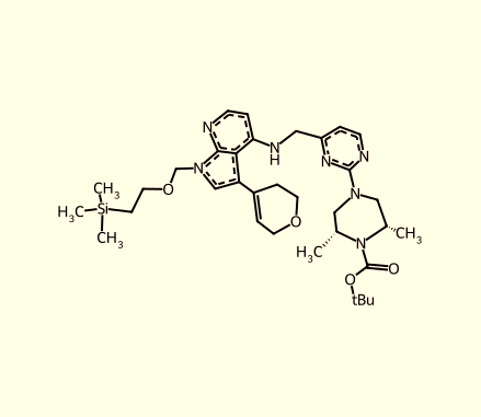 C[C@@H]1CN(c2nccc(CNc3ccnc4c3c(C3=CCOCC3)cn4COCC[Si](C)(C)C)n2)C[C@H](C)N1C(=O)OC(C)(C)C